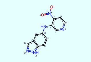 O=[N+]([O-])c1ccncc1Nc1ccc2[nH]ncc2c1